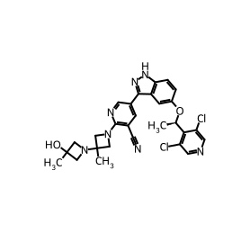 C[C@@H](Oc1ccc2[nH]nc(-c3cnc(N4CC(C)(N5CC(C)(O)C5)C4)c(C#N)c3)c2c1)c1c(Cl)cncc1Cl